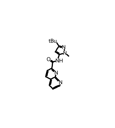 Cn1nc(C(C)(C)C)cc1NC(=O)c1ccc2cccnc2n1